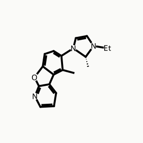 CCN1C=CN(c2ccc3oc4ncccc4c3c2C)[C@H]1C